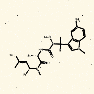 CN[C@H](C(=O)N[C@H](C(=O)N(C)[C@H](/C=C(\C)C(=O)O)C(C)C)C(C)(C)C)C(C)(C)c1cn(C)c2ccc(N)cc12